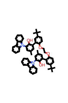 Cc1cc(-c2cc(C(C)(C)C)ccc2OCCOc2ccc(C(C)(C)C)cc2-c2cc(C)cc(-n3c4ccccc4c4ccccc43)c2O)c(O)c(-n2c3ccccc3c3ccccc32)c1